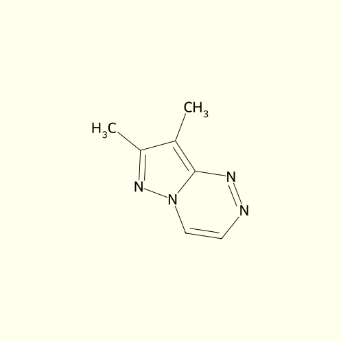 Cc1nn2ccnnc2c1C